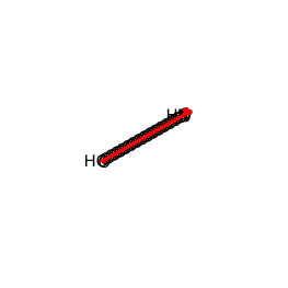 O=C(O)CCOCCOCCOCCOCCOCCOCCOCCOCCOCCOCCOCCOCCOCCOCCOCCOCCOCCOCCOCCOCCOCCOCCOCCOCCOCCOCCOCCOCCNC(=O)OCC1c2ccccc2-c2ccccc21